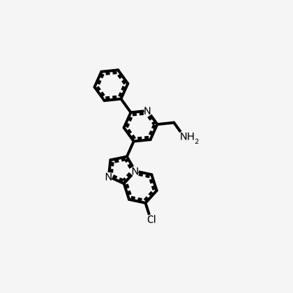 NCc1cc(-c2cnc3cc(Cl)ccn23)cc(-c2ccccc2)n1